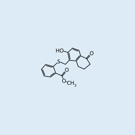 COC(=O)c1ccccc1SCc1c(O)ccc2c1CCCC2=O